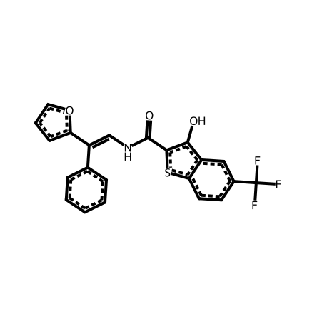 O=C(N/C=C(\c1ccccc1)c1ccco1)c1sc2ccc(C(F)(F)F)cc2c1O